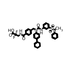 CN(c1ccccc1)S(=O)(=O)c1cccc(NC(=O)N(Cc2ccc(C(=O)NCC(F)(F)C(=O)O)cc2)c2ccc(C3=CCCCC3)cc2)c1